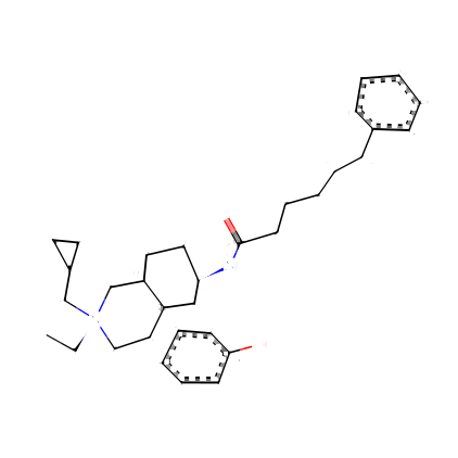 CC(C)C[N@+]1(CC2CC2)CC[C@]2(c3cccc(O)c3)C[C@H](NC(=O)CCCCCc3ccccc3)CCC2C1